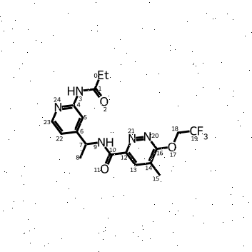 CCC(=O)Nc1cc(C(C)NC(=O)c2cc(C)c(OCC(F)(F)F)nn2)ccn1